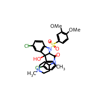 COc1ccc(S(=O)(=O)N2c3ccc(Cl)cc3C(O)(c3ccccc3Cl)C2C(=O)N(C)C2CCN(C)CC2)cc1OC